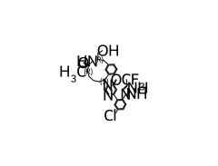 C[C@@H]1CCC[C@H](n2cnc(-c3cc(Cl)ccc3N3C=C(C(F)(F)F)NN3)cc2=O)c2cccc(c2)C[C@H](CO)NC1=O